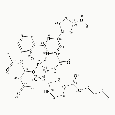 CCCCOC(=O)N1CCNC(C(=O)[C@]2(NC(=O)c3cc(N4CC[C@H](OC)C4)nc(-c4ccccc4)n3)CP2(=O)OC(OC(C)=O)OC(C)=O)C1